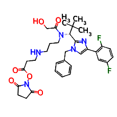 CC(C)(C)[C@H](c1nc(-c2cc(F)ccc2F)cn1Cc1ccccc1)N(CCCNCCC(=O)ON1C(=O)CCC1=O)C(=O)CO